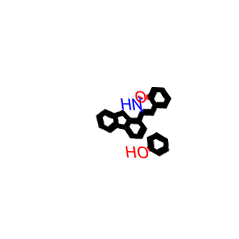 C1=C(c2cccc3c2Cc2ccccc2-3)NOc2ccccc21.Oc1ccccc1